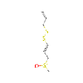 C=CCSSC=CC[S+](C)[O-]